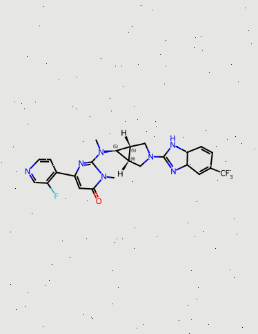 CN(c1nc(-c2ccncc2F)cc(=O)n1C)[C@H]1[C@@H]2CN(C3=NC4C=C(C(F)(F)F)C=CC4N3)C[C@@H]21